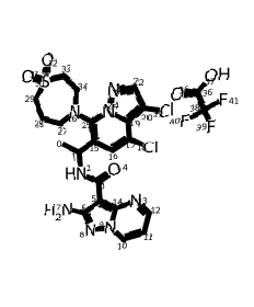 CC(NC(=O)c1c(N)nn2cccnc12)c1cc(Cl)c2c(Cl)cnn2c1N1CCCS(=O)(=O)CC1.O=C(O)C(F)(F)F